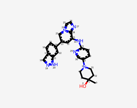 CC1(O)CCN(c2ccc(Nc3cc(-c4ccc5cn[nH]c5c4)cn4ccnc34)nc2)CC1